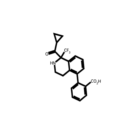 O=C(O)c1ccccc1-c1cccc2c1CCNC2(C(=O)C1CC1)C(F)(F)F